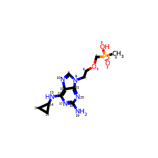 CP(=O)(O)COCCn1cnc2c(NC3CC3)nc(N)nc21